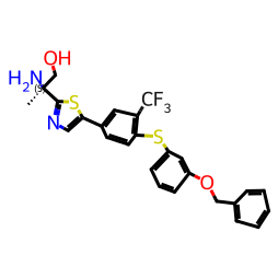 C[C@](N)(CO)c1ncc(-c2ccc(Sc3cccc(OCc4ccccc4)c3)c(C(F)(F)F)c2)s1